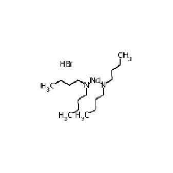 Br.CCCC[N](CCCC)[Nd][N](CCCC)CCCC